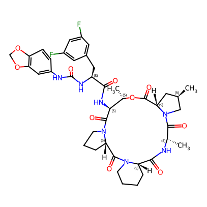 C[C@@H]1C[C@H]2C(=O)O[C@@H](C)[C@H](NC(=O)[C@H](Cc3cc(F)cc(F)c3)NC(=O)Nc3ccc4c(c3)OCO4)C(=O)N3CCC[C@H]3C(=O)N3CCCC[C@H]3C(=O)N[C@@H](C)C(=O)N2C1